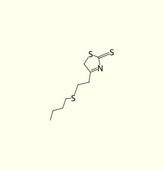 CCCCSCCC1=NC(=S)SC1